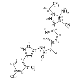 CC(C(=O)Nc1cc(-c2ccc(Cl)cc2Cl)no1)c1ccc(-c2nn(C(C)C(F)(F)F)c(N)c2C#N)nc1